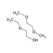 CCOCCO.COCCOC